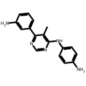 Cc1c(Nc2ccc(N)cc2)ncnc1-c1cccc(N)c1